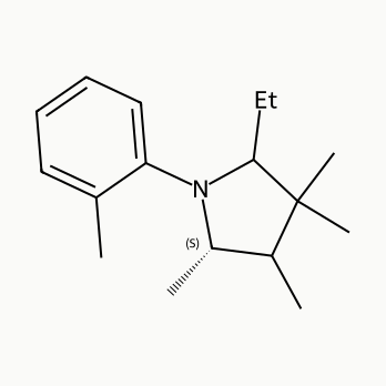 CCC1N(c2ccccc2C)[C@@H](C)C(C)C1(C)C